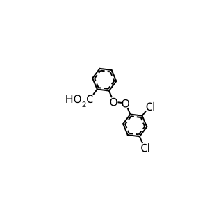 O=C(O)c1ccccc1OOc1ccc(Cl)cc1Cl